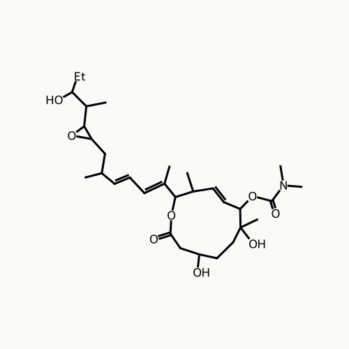 CCC(O)C(C)C1OC1CC(C)/C=C/C=C(\C)C1OC(=O)CC(O)CCC(C)(O)C(OC(=O)N(C)C)/C=C/C1C